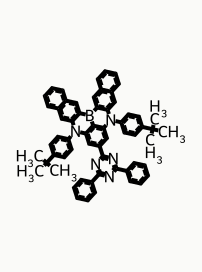 CC(C)(C)c1ccc(N2c3cc4ccccc4cc3B3c4cc5ccccc5cc4N(c4ccc(C(C)(C)C)cc4)c4cc(-c5nc(-c6ccccc6)nc(-c6ccccc6)n5)cc2c43)cc1